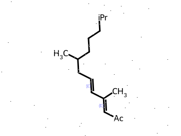 CC(=O)/C=C(C)/C=C/CC(C)CCCC(C)C